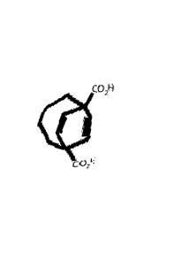 O=C(O)C12C=CC(C(=O)O)(C=C1)CCCC2